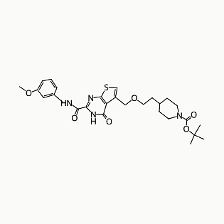 COc1cccc(CNC(=O)c2nc3scc(COCCC4CCN(C(=O)OC(C)(C)C)CC4)c3c(=O)[nH]2)c1